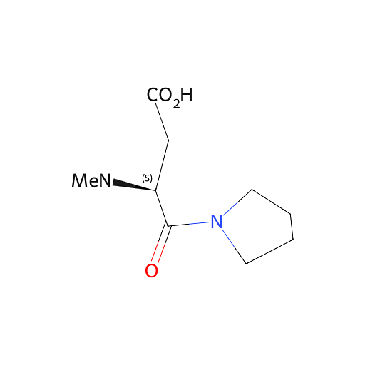 CN[C@@H](CC(=O)O)C(=O)N1CCCC1